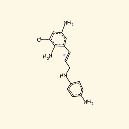 Nc1ccc(NC/C=C/c2cc(N)cc(Cl)c2N)cc1